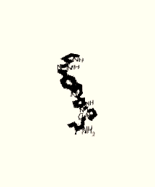 CC[C@H](C)[C@H](N)C(=O)N1CCC[C@H]1c1nc2ccc(-c3ccc4cc(-c5cnc([C@@H]6CCCN6)[nH]5)ccc4n3)cc2[nH]1